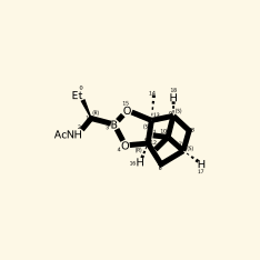 CC[C@H](NC(C)=O)B1O[C@@H]2C[C@@H]3C[C@@H](C3(C)C)[C@]2(C)O1